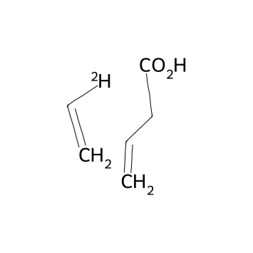 C=CCC(=O)O.[2H]C=C